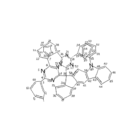 c1ccc(-c2nc(-c3ccccc3)nc(C3(c4nc(-c5ccccc5)nc(-c5ccccc5)n4)c4ccccc4-c4cc5c6ccccc6n(-c6ccccc6)c5cc43)n2)cc1